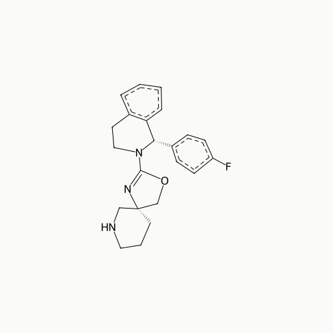 Fc1ccc([C@H]2c3ccccc3CCN2C2=N[C@@]3(CCCNC3)CO2)cc1